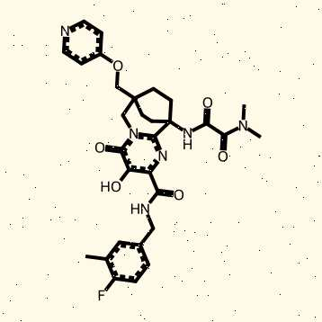 Cc1cc(CNC(=O)c2nc3n(c(=O)c2O)CC2(COc4ccncc4)CCC3(NC(=O)C(=O)N(C)C)CC2)ccc1F